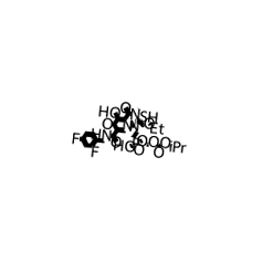 CCOC[C@@]1(S)N(C)C(=O)c2c(O)c(=O)c(C(=O)NCc3ccc(F)cc3F)cn2N1CCP(=O)(O)OCOC(=O)OC(C)C